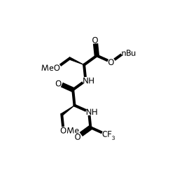 CCCCOC(=O)[C@H](COC)NC(=O)[C@H](COC)NC(=O)C(F)(F)F